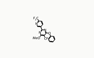 COc1nc(-c2ccc(C(F)(F)F)nc2)nc(Oc2ccccc2)c1C(F)(F)F